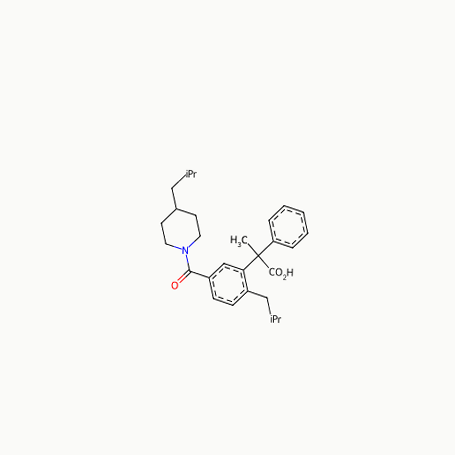 CC(C)Cc1ccc(C(=O)N2CCC(CC(C)C)CC2)cc1C(C)(C(=O)O)c1ccccc1